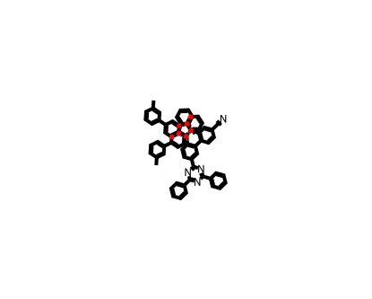 Cc1cccc(-c2ccc3c(c2)c2ccccc2n3-c2ccc(-c3nc(-c4ccccc4)nc(-c4ccccc4)n3)cc2-c2ccc(C#N)cc2-n2c3ccccc3c3cc(-c4cccc(C)c4)ccc32)c1